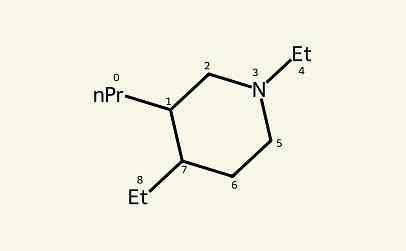 CCCC1CN(CC)CCC1CC